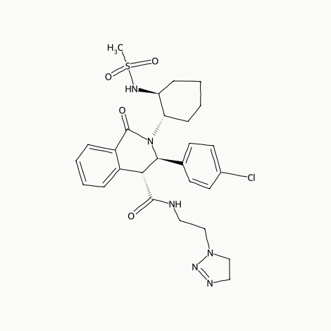 CS(=O)(=O)N[C@H]1CCCC[C@@H]1N1C(=O)c2ccccc2[C@@H](C(=O)NCCN2CCN=N2)[C@@H]1c1ccc(Cl)cc1